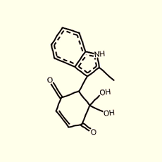 Cc1[nH]c2ccccc2c1C1C(=O)C=CC(=O)C1(O)O